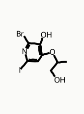 CC(CO)Oc1cc(I)nc(Br)c1O